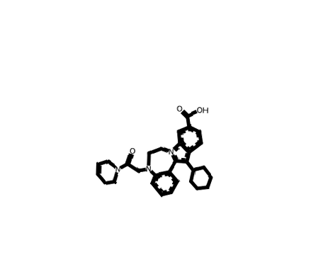 O=C(O)c1ccc2c(C3CCCCC3)c3n(c2c1)CCN(CC(=O)N1CC=CCC1)c1ccccc1-3